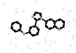 c1ccc(Oc2cccc(-c3nccn3-c3ccc4ncccc4c3)c2)cc1